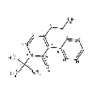 CC(C)(C)n1ncc(CCO)c(-c2ccccc2)c1=O